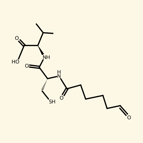 CC(C)[C@@H](NC(=O)[C@@H](CS)NC(=O)CCCCC=O)C(=O)O